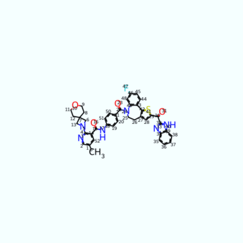 Cc1cnc(N2CC3(CCOCC3)C2)c(C(=O)Nc2ccc(C(=O)N3CCc4cc(C(=O)c5nc6ccccc6[nH]5)sc4-c4ccc(F)cc43)cc2)c1